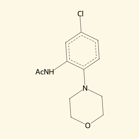 CC(=O)Nc1cc(Cl)ccc1N1CCOCC1